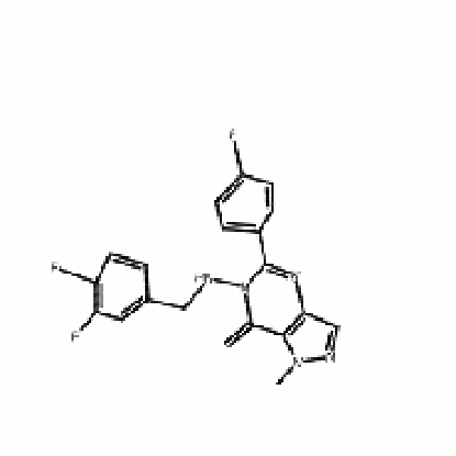 C=C1c2c(cnn2C)N=C(c2ccc(F)cc2)N1NCc1ccc(F)c(F)c1